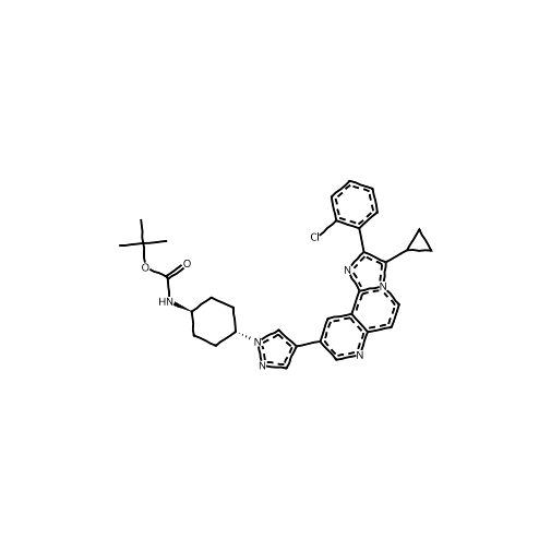 CC(C)(C)OC(=O)N[C@H]1CC[C@H](n2cc(-c3cnc4ccn5c(C6CC6)c(-c6ccccc6Cl)nc5c4c3)cn2)CC1